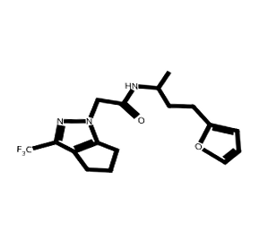 CC(CCc1ccco1)NC(=O)Cn1nc(C(F)(F)F)c2c1CCC2